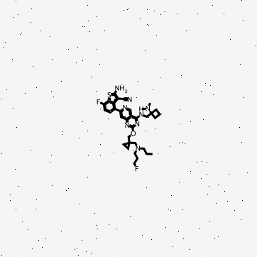 CCCN(CCCF)CC1(COc2nc(NCC3(N(C)C)CCC3)c3cnc(-c4ccc(F)c5sc(N)c(C#N)c45)cc3n2)CC1